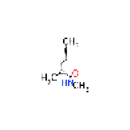 CC#CCCC1C(C)C1C(=O)NC